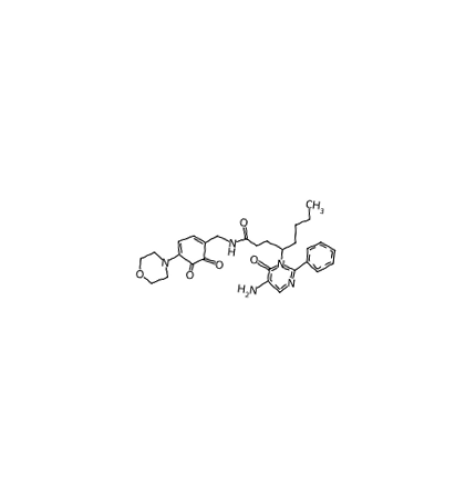 CCCCC(CCC(=O)NCC1=CC=C(N2CCOCC2)C(=O)C1=O)n1c(-c2ccccc2)ncc(N)c1=O